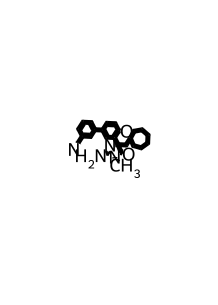 CN1C(=O)C2(CC3(CCCCCC3)Oc3ccc(-c4cccc(C#N)c4)cc32)N=C1N